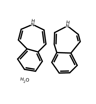 C1=Cc2ccccc2C=CN1.C1=Cc2ccccc2C=CN1.O